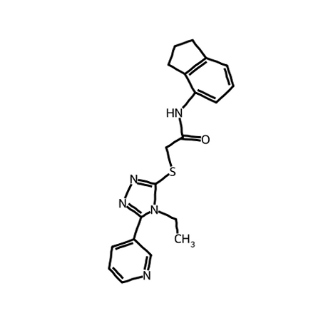 CCn1c(SCC(=O)Nc2cccc3c2CCC3)nnc1-c1cccnc1